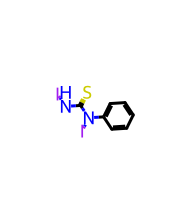 S=C(NI)N(I)c1ccccc1